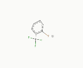 FC(F)(F)c1ccccc1[S-].[Li+]